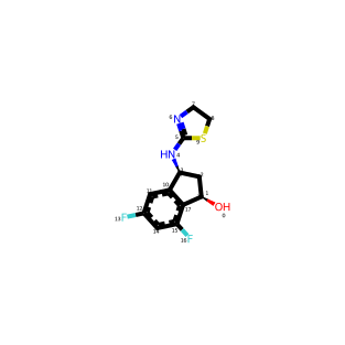 O[C@@H]1C[C@H](NC2=NCCS2)c2cc(F)cc(F)c21